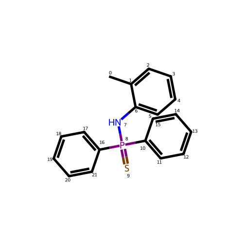 Cc1ccccc1NP(=S)(c1ccccc1)c1ccccc1